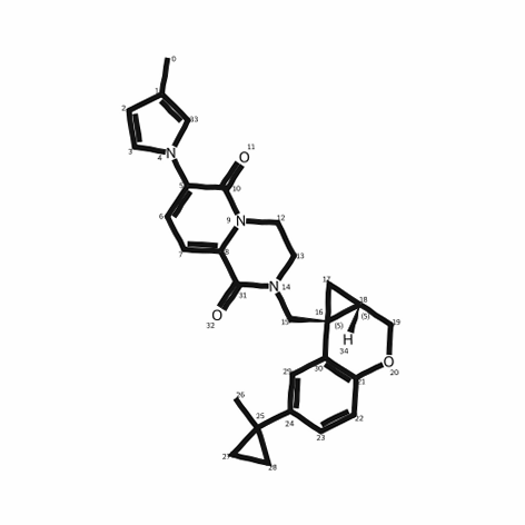 Cc1ccn(-c2ccc3n(c2=O)CCN(C[C@@]24C[C@@H]2COc2ccc(C5(C)CC5)cc24)C3=O)c1